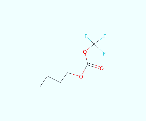 CCCCOC(=O)OC(F)(F)F